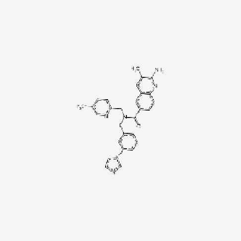 Cc1cc2cc(C(=O)N(Cc3cccc(-n4ccnc4)c3)Cc3ccc(C(F)(F)F)cn3)ccc2nc1N